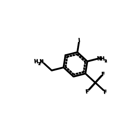 NCc1cc(I)c(N)c(C(F)(F)F)c1